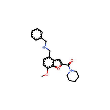 COc1ccc(CNCc2ccccc2)c2cc(C(=O)N3CCCCC3)oc12